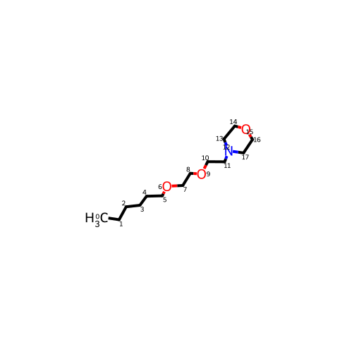 CCCCCCOCCOCCN1CCOCC1